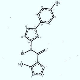 CCN(C(=O)c1scnc1C)c1nnc(-c2ccc(C(C)(C)C)cc2)s1